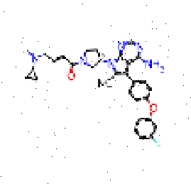 CN(CC=CC(=O)N1CC[C@@H](n2c(C#N)c(-c3ccc(Oc4cccc(F)c4)cc3)c3c(N)ncnc32)C1)C1CC1